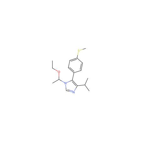 CCOC(C)n1cnc(C(C)C)c1-c1ccc(SC)cc1